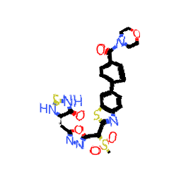 CS(=O)(=O)C(c1nnc(C[C@@H]2NSNC2=O)o1)c1nc2ccc(-c3ccc(C(=O)N4CCOCC4)cc3)cc2s1